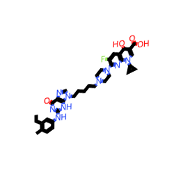 CCc1cc(Nc2nc(=O)c3ncn(CCCCCN4CCN(c5nc6c(cc5F)C(O)C(C(=O)O)=CN6C5CC5)CC4)c3[nH]2)ccc1C